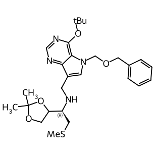 CSC[C@H](NCc1cn(COCc2ccccc2)c2c(OC(C)(C)C)ncnc12)C1COC(C)(C)O1